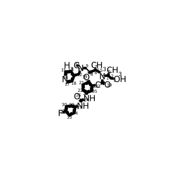 CC(CO)N1C[C@@H](C)[C@H](CN(C)Cc2ccncc2)Oc2ccc(NC(=O)Nc3ccc(F)cc3)cc2CC1=O